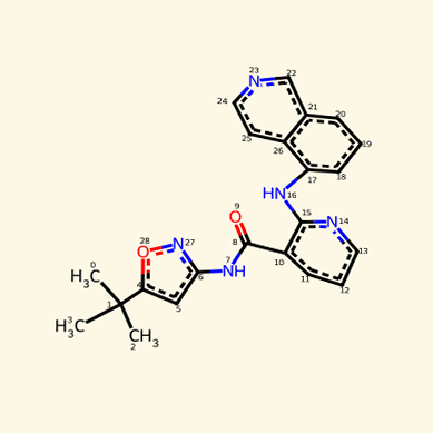 CC(C)(C)c1cc(NC(=O)c2cccnc2Nc2cccc3cnccc23)no1